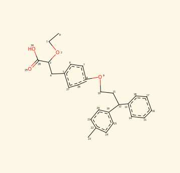 CCOC(Cc1ccc(OCCC(c2ccccc2)c2ccc(C)cc2)cc1)C(=O)O